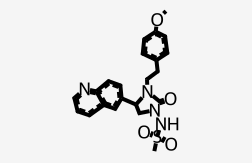 COc1ccc(CCN2C(=O)N(NS(C)(=O)=O)CC2c2ccc3ncccc3c2)cc1